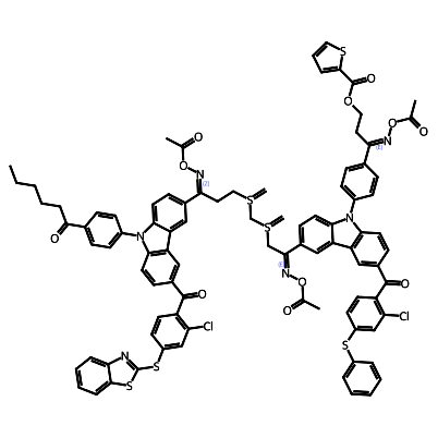 C=S(CC/C(=N/OC(C)=O)c1ccc2c(c1)c1cc(C(=O)c3ccc(Sc4nc5ccccc5s4)cc3Cl)ccc1n2-c1ccc(C(=O)CCCCC)cc1)CS(=C)C/C(=N/OC(C)=O)c1ccc2c(c1)c1cc(C(=O)c3ccc(Sc4ccccc4)cc3Cl)ccc1n2-c1ccc(/C(CCOC(=O)c2cccs2)=N/OC(C)=O)cc1